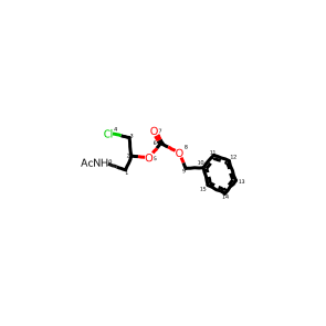 CC(=O)NCC(CCl)OC(=O)OCc1ccccc1